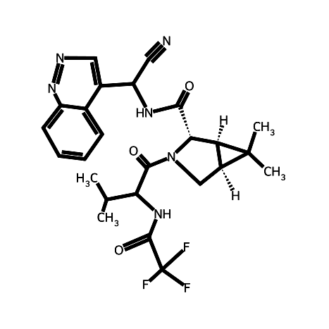 CC(C)C(NC(=O)C(F)(F)F)C(=O)N1C[C@H]2[C@@H]([C@H]1C(=O)NC(C#N)c1cnnc3ccccc13)C2(C)C